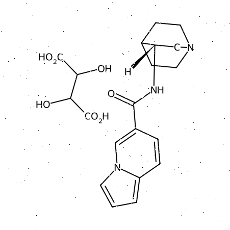 O=C(N[C@H]1CN2CCC1CC2)c1ccc2cccn2c1.O=C(O)C(O)C(O)C(=O)O